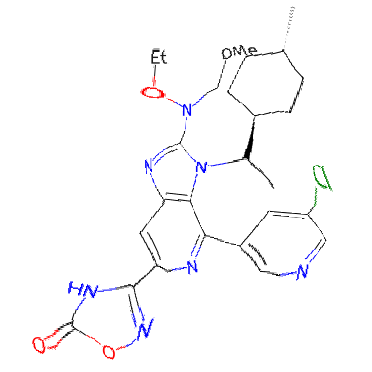 CCON(COC)c1nc2cc(-c3noc(=O)[nH]3)nc(-c3cncc(Cl)c3)c2n1C(C)[C@H]1CC[C@H](C)CC1